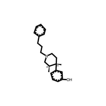 C[C@H]1CN(CCCc2ccccc2)CC[C@]1(C)c1cccc(O)c1